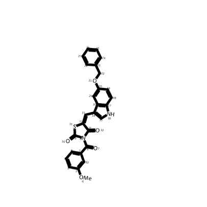 COc1cccc(C(=O)N2C(=O)SC(=Cc3c[nH]c4ccc(OCc5ccccc5)cc34)C2=O)c1